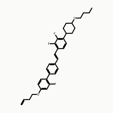 C=CCCOc1ccc(-c2ccc(/C=C/c3ccc(C4CCC(OCCCC)CC4)c(F)c3F)cc2)c(F)c1